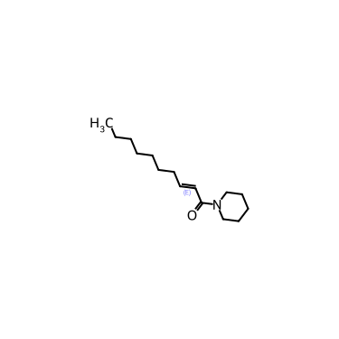 CCCCCCC/C=C/C(=O)N1CCCCC1